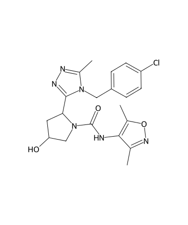 Cc1noc(C)c1NC(=O)N1CC(O)CC1c1nnc(C)n1Cc1ccc(Cl)cc1